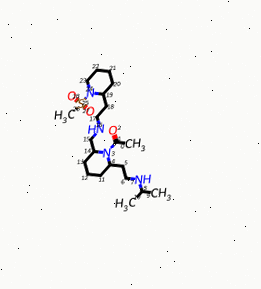 CC(=O)N1C(CCNC(C)C)CCCC1CNCCC1CCCCN1S(C)(=O)=O